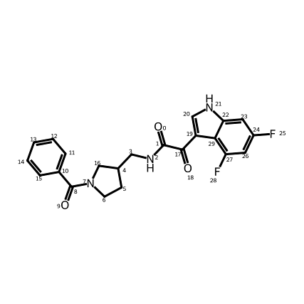 O=C(NCC1CCN(C(=O)c2ccccc2)C1)C(=O)c1c[nH]c2cc(F)cc(F)c12